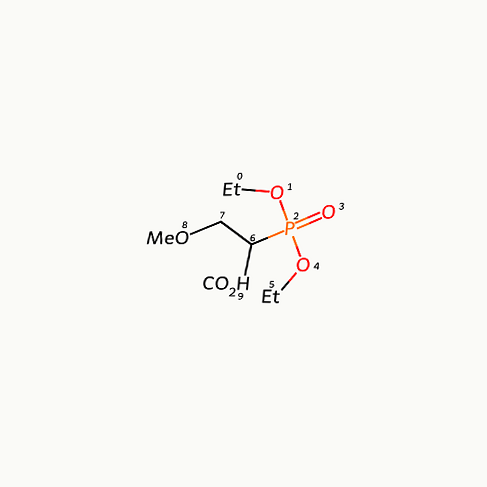 CCOP(=O)(OCC)C(COC)C(=O)O